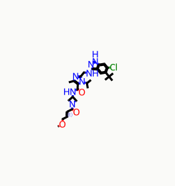 COC/C=C/C(=O)N1CC(NC(=O)c2c(C)nc(CNc3n[nH]c4cc(Cl)c(C(C)(C)C)cc34)n2C(C)C)C1